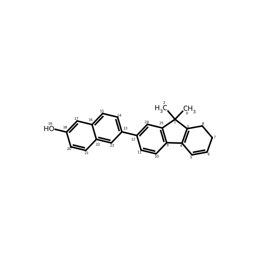 CC1(C)C2=C(C=CCC2)c2ccc(-c3ccc4cc(O)ccc4c3)cc21